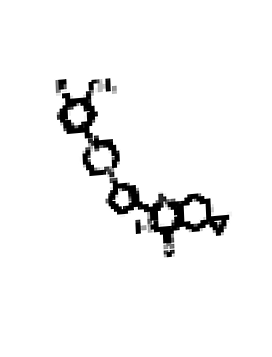 Cc1cc(N2CCN([C@H]3C=C(c4nc5c(c(=O)[nH]4)CC4(CC5)CC4)CC3)CC2)ccc1F